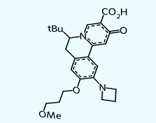 COCCCOc1cc2c(cc1N1CCC1)-c1cc(=O)c(C(=O)O)cn1C(C(C)(C)C)C2